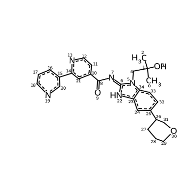 CC(C)(O)Cn1/c(=N/C(=O)c2ccnc(-c3cccnc3)c2)[nH]c2cc(C3CCCOC3)ccc21